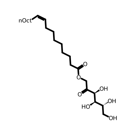 CCCCCCCC/C=C\CCCCCCCC(=O)OCC(=O)[C@@H](O)[C@H](O)[C@H](O)CO